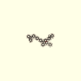 c1ccc(-c2cccc(-c3ccccc3N(c3ccc(-c4ccc(-c5cccc(-n6c7ccccc7c7ccccc76)c5)cc4)cc3)c3ccc(-c4ccc5c(c4)oc4ccccc45)cc3)c2)cc1